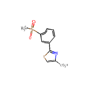 CS(=O)(=O)c1cccc(-c2nc(C(=O)O)cs2)c1